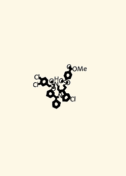 COC(=O)c1ccc(S(=O)(=O)CCc2c(CCNS(=O)(=O)Cc3ccc(Cl)c(Cl)c3)n(C(c3ccccc3)c3ccccc3)c3ccc(Cl)cc23)cc1